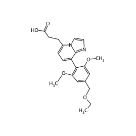 CCOCc1cc(OC)c(-c2ccc(CCC(=O)O)n3ccnc23)c(OC)c1